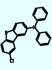 Clc1ccc2sc3ccc(N(c4ccccc4)c4ccccc4)cc3c2c1